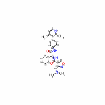 Cc1ccnc(C)c1-c1ccc(NC(=O)C(NC(=O)c2conc2CN(C)C)C2CCCCC2)cc1